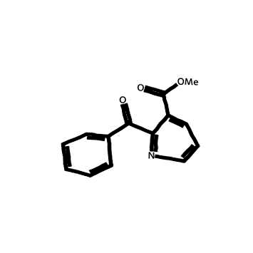 COC(=O)c1cccnc1C(=O)c1ccccc1